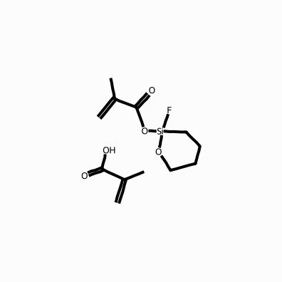 C=C(C)C(=O)O.C=C(C)C(=O)O[Si]1(F)CCCCO1